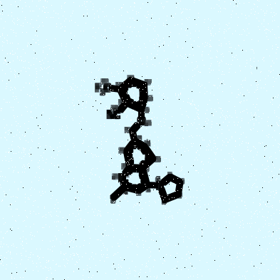 Cc1cc(N2CCCC2)c2ccc(COc3cccc(C(F)(F)F)c3C#N)cc2n1